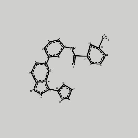 O=C(Nc1cccc(-c2ccc3nnc(-c4cccs4)n3n2)c1)c1cccc([N+](=O)[O-])c1